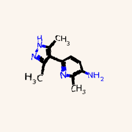 Cc1nc(-c2c(C)n[nH]c2C)ccc1N